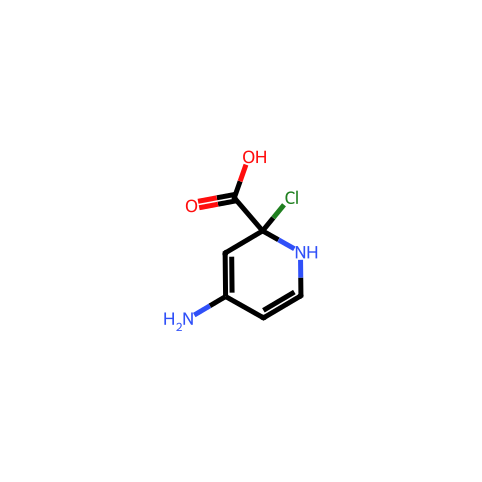 NC1=CC(Cl)(C(=O)O)NC=C1